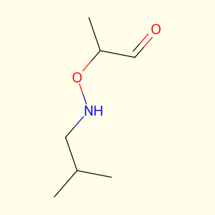 CC(C)CNOC(C)C=O